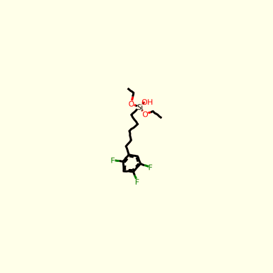 CCO[Si](O)(CCCCCc1cc(F)c(F)cc1F)OCC